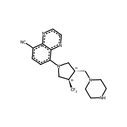 N#Cc1ccc(N2C[C@H](CN3CCNCC3)[C@@H](C(F)(F)F)C2)c2nccnc12